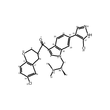 C[C@H](Cn1cc(C(=O)C2COc3ccc(Cl)cc3C2)c2ccc(-c3cn[nH]c3Cl)cc21)N(C)C